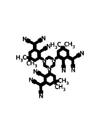 CC1(C)CC(=C(C#N)C#N)C(C#N)=C(N2CN(C3=C(C#N)C(=C(C#N)C#N)CC(C)(C)C3)CN(C3=C(C#N)C(=C(C#N)C#N)CC(C)(C)C3)C2)C1